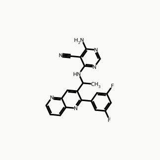 CC(Nc1ncnc(N)c1C#N)c1cc2ncccc2nc1-c1cc(F)cc(F)c1